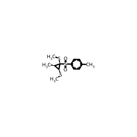 CS[C@H]1[C@@H](C)[C@]1(SC)S(=O)(=O)c1ccc(C)cc1